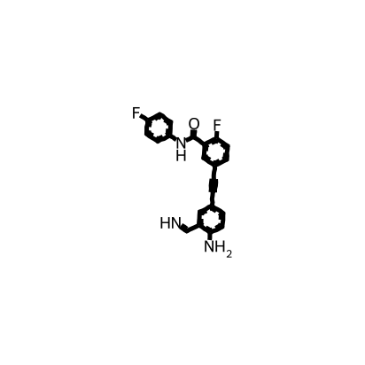 N=Cc1cc(C#Cc2ccc(F)c(C(=O)Nc3ccc(F)cc3)c2)ccc1N